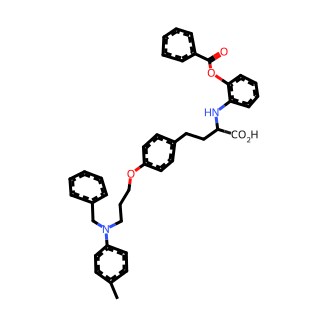 Cc1ccc(N(CCCOc2ccc(CCC(Nc3ccccc3OC(=O)c3ccccc3)C(=O)O)cc2)Cc2ccccc2)cc1